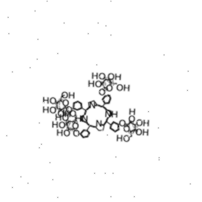 OC[C@H]1O[C@@H](Oc2cccc(-c3c4nc(c(-c5cccc(O[C@@H]6O[C@H](CO)[C@H](O)[C@H](O)[C@H]6O)c5)c5ccc([nH]5)c(-c5cccc(O[C@@H]6O[C@H](CO)[C@H](O)[C@H](O)[C@H]6O)c5)c5nc(c(-c6cccc(O[C@@H]7O[C@H](CO)[C@H](O)[C@H](O)[C@H]7O)c6)c6ccc3[nH]6)CC5)CC4)c2)[C@H](O)[C@@H](O)[C@H]1O